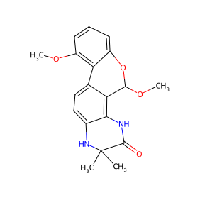 COc1cccc2c1-c1ccc3c(c1C(OC)O2)NC(=O)C(C)(C)N3